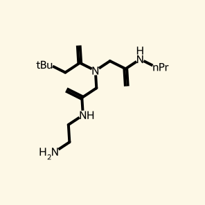 C=C(CN(CC(=C)NCCN)C(=C)CC(C)(C)C)NCCC